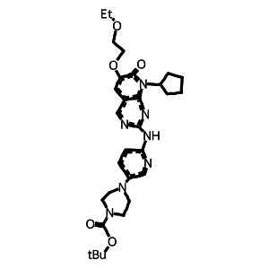 CCOCCOc1cc2cnc(Nc3ccc(N4CCN(C(=O)OC(C)(C)C)CC4)cn3)nc2n(C2CCCC2)c1=O